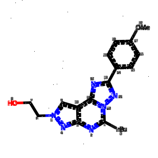 CCCCc1nc2nn(CCO)cc2c2nc(-c3ccc(OC)cc3)nn12